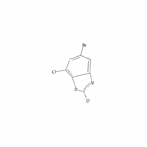 Clc1nc2cc(Br)cc(Cl)c2o1